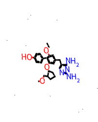 CCOc1cc(Cc2cnc(N)nc2N)cc(OC2CCCC2COC)c1-c1ccc(O)cc1